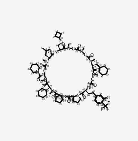 CC(C)C[C@H]1C(=O)N[C@@H](COC2CCC2)C(=O)N(C)CC(=O)N(C)CC(=O)N(C)[C@@H](CC2CCCCC2)C(=O)N(C)CC(=O)N[C@@H](CCc2ccc(C(F)(F)F)c(Cl)c2)C(=O)N2CCC[C@H]2C(=O)NC2(CCCC2)C(=O)N(C)[C@@H](C2CCCCC2)C(=O)N(C)[C@H](C(=O)N2CCCCC2)CC(=O)N1C